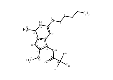 CCCCCOC1=Nc2c(nc(OC)n2OC(=O)C(F)(F)F)C(N)N1